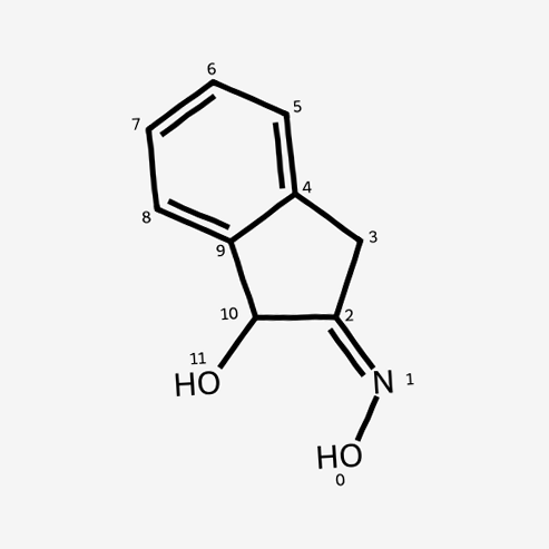 ON=C1Cc2ccccc2C1O